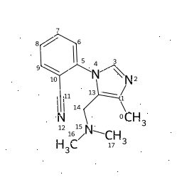 Cc1ncn(-c2ccccc2C#N)c1CN(C)C